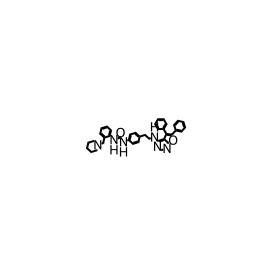 O=C(Nc1ccc(CCNc2ncnc3oc(-c4ccccc4)c(-c4ccccc4)c23)cc1)Nc1ccccc1CN1CCCCC1